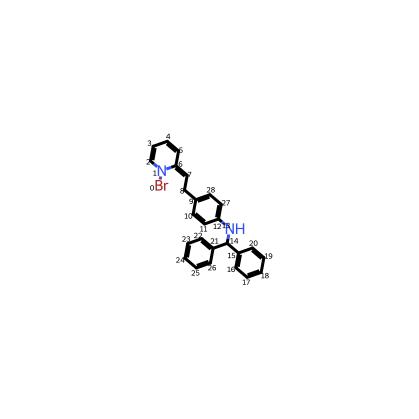 BrN1C=CC=CC1=CCc1ccc(NC(c2ccccc2)c2ccccc2)cc1